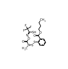 CCCCOC(=O)c1ccccc1SSN(C)C(=O)ON=C(S)C(F)(F)F